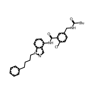 CC(C)(C)C(=O)NCc1ccc(Cl)c(C(=O)Nc2cccc3c2cnn3CCCCc2ccccc2)c1